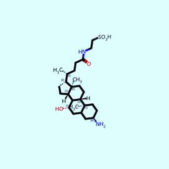 C[C@H](CCC(=O)NCCS(=O)(=O)O)[C@H]1CC[C@H]2C3[C@@H](O)CC4C[C@H](N)CC[C@]4(C)[C@H]3CC[C@]12C